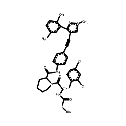 Cc1ccc(O)c(-c2nn(C)cc2C#Cc2ccc(NC(=O)C3CCCCN3C(=O)[C@H](Cc3ccc(Cl)cc3Cl)NC(=O)OC(C)(C)C)cc2)c1